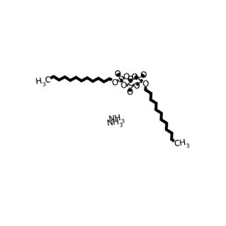 CCCCCCCCCCCCOS(=O)(=O)OS(=O)(=O)OS(=O)(=O)OCCCCCCCCCCCC.N.N